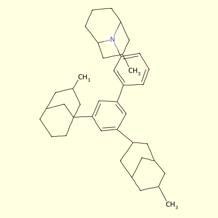 CC1CC2CC(C1)CC(c1cc(-c3cccc(N4C5CCCC4CC(C)C5)c3)cc(C34CCCC(CC(C)C3)C4)c1)C2